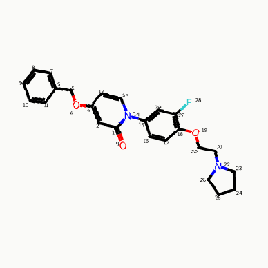 O=c1cc(OCc2ccccc2)ccn1-c1ccc(OCCN2CCCC2)c(F)c1